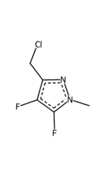 Cn1nc(CCl)c(F)c1F